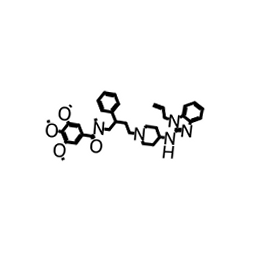 C=CCn1c(NC2CCN(CCC(CN(C)C(=O)c3cc(OC)c(OC)c(OC)c3)c3ccccc3)CC2)nc2ccccc21